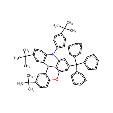 CC(C)(C)c1ccc(N2c3ccc(C(C)(C)C)cc3B3c4cc(C(C)(C)C)ccc4Oc4cc(C(c5ccccc5)(c5ccccc5)c5ccccc5)cc2c43)cc1